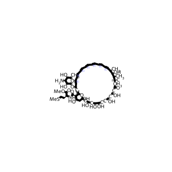 COC(=O)[C@H](CCSC)NC(=O)[C@H]1[C@@H]2C[C@@H](O[C@@H]3O[C@H](C)[C@@H](O)[C@H](N)[C@@H]3O)/C=C/C=C/C=C/C=C/C=C/C=C/C=C/[C@H](C)[C@@H](O)[C@@H](C)[C@H](C)OC(=O)C[C@H](O)C[C@H](O)CC[C@@H](O)[C@H](O)C[C@H](O)C[C@](O)(C[C@@H]1O)O2